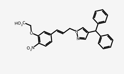 O=C(O)COc1cc(C=CCn2cc(C(c3ccccc3)c3ccccc3)cn2)ccc1[N+](=O)[O-]